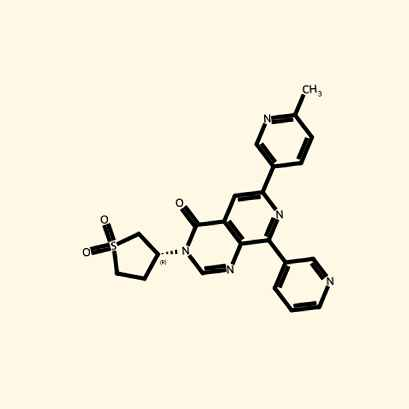 Cc1ccc(-c2cc3c(=O)n([C@@H]4CCS(=O)(=O)C4)cnc3c(-c3cccnc3)n2)cn1